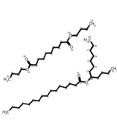 CCCCCCCCCCCCCCCC(=O)OC(CCCC)CCCCCCC.CCCCOC(=O)CCCCCCCCC(=O)OCCCC